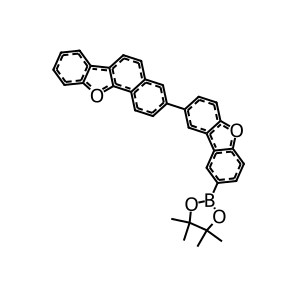 CC1(C)OB(c2ccc3oc4ccc(-c5ccc6c(ccc7c8ccccc8oc67)c5)cc4c3c2)OC1(C)C